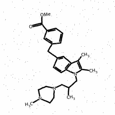 COC(=O)c1cccc(Cc2ccc3c(c2)c(C)c(C)n3CC(C)CN2CCN(C)CC2)c1